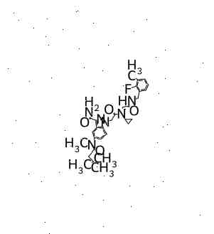 Cc1cccc(CNC(=O)CN(C(=O)Cn2nc(C(N)=O)c3cc(N(C)C(=O)CC(C)(C)C)ccc32)C2CC2)c1F